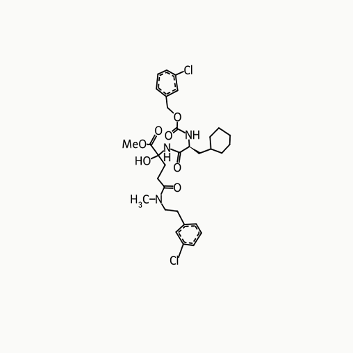 COC(=O)C(O)(CCC(=O)N(C)CCc1cccc(Cl)c1)NC(=O)[C@H](CC1CCCCC1)NC(=O)OCc1cccc(Cl)c1